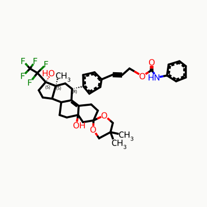 CC1(C)COC2(CCC3=C4C(CCC3(O)C2)C2CC[C@@](O)(C(F)(F)C(F)(F)F)[C@@]2(C)C[C@@H]4c2ccc(C#CCOC(=O)Nc3ccccc3)cc2)OC1